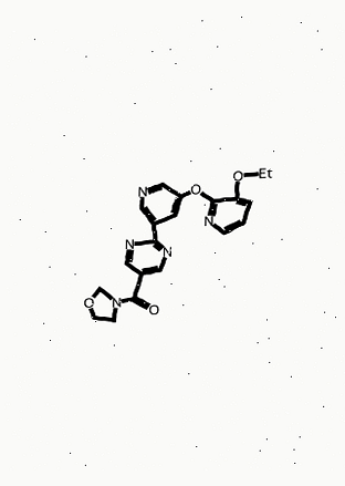 CCOc1cccnc1Oc1cncc(-c2ncc(C(=O)N3CCOC3)cn2)c1